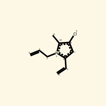 C=CCn1c(C=C)cc(Cl)c1C